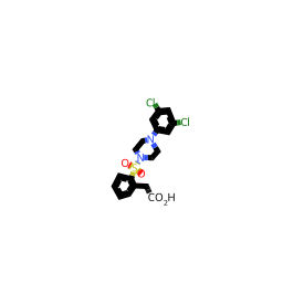 O=C(O)Cc1ccccc1S(=O)(=O)N1CCN(c2cc(Cl)cc(Cl)c2)CC1